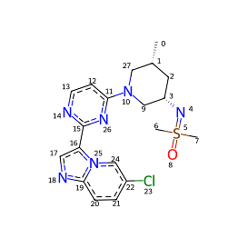 C[C@@H]1C[C@H](N=S(C)(C)=O)CN(c2ccnc(-c3cnc4ccc(Cl)cn34)n2)C1